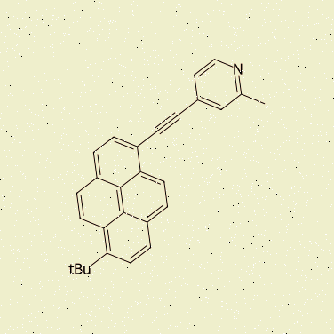 Cc1cc(C#Cc2ccc3ccc4c(C(C)(C)C)ccc5ccc2c3c54)ccn1